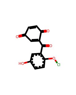 O=C1C=CC(=O)C(C(=O)c2cc(O)ccc2OCl)=C1